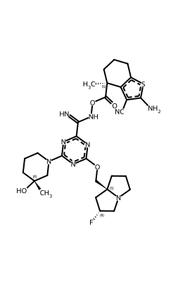 C[C@@]1(O)CCCN(c2nc(OC[C@@]34CCCN3C[C@H](F)C4)nc(C(=N)NOC(=O)[C@@]3(C)CCCc4sc(N)c(C#N)c43)n2)C1